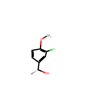 C[C@@H](O)c1ccc(OC(F)(F)F)c(Cl)c1